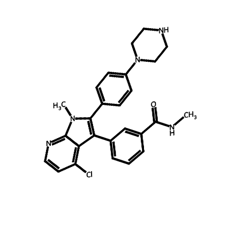 CNC(=O)c1cccc(-c2c(-c3ccc(N4CCNCC4)cc3)n(C)c3nccc(Cl)c23)c1